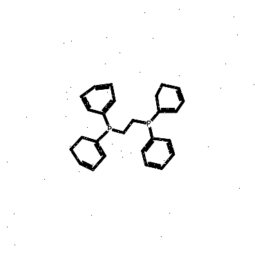 C1=CCCC(P(CCP(C2=CC=CCC2)c2ccccc2)c2ccccc2)=C1